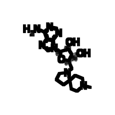 CN1CCC2(CCCN2C[C@H]2O[C@@H](n3cnc4c(N)ncnc43)[C@H](O)[C@@H]2O)CC1